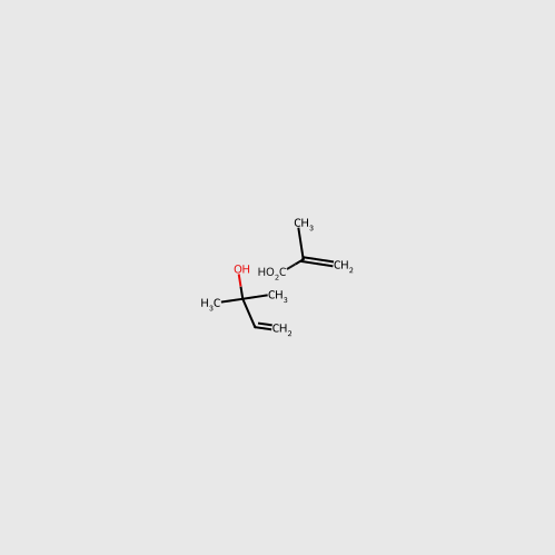 C=C(C)C(=O)O.C=CC(C)(C)O